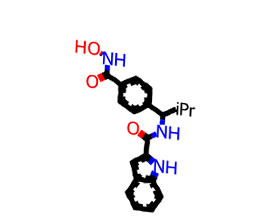 CC(C)C(NC(=O)c1cc2ccccc2[nH]1)c1ccc(C(=O)NO)cc1